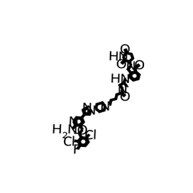 C[C@@H](Oc1cc(-c2cnn(C3CCN(CCCCC(=O)N4CC(Nc5cccc6c5CN(C5CCC(=O)NC5=O)C6=O)C4)CC3)c2)cnc1N)c1c(Cl)ccc(F)c1Cl